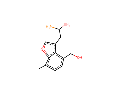 BC(P)Cc1coc2c(C)ccc(CO)c12